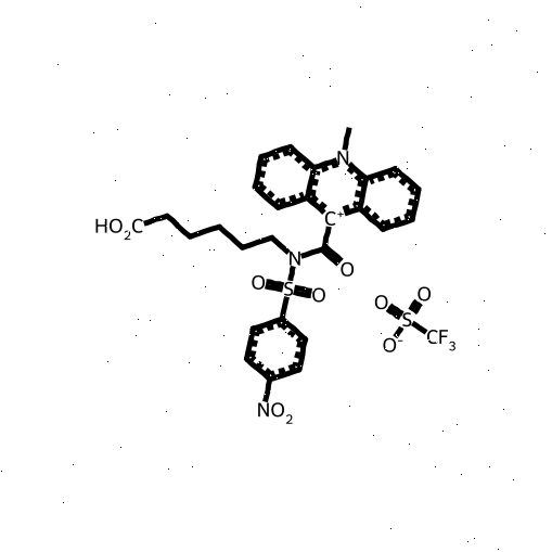 Cn1c2ccccc2[c+](C(=O)N(CCCCCC(=O)O)S(=O)(=O)c2ccc([N+](=O)[O-])cc2)c2ccccc21.O=S(=O)([O-])C(F)(F)F